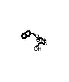 O=C(Cn1cncc1CCCO)OCCc1ccc2ccccc2c1